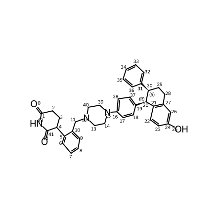 O=C1CCC(c2ccccc2CN2CCN(c3ccc([C@@H]4c5ccc(O)cc5CC[C@@H]4c4ccccc4)cc3)CC2)C(=O)N1